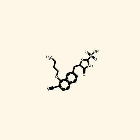 CCCCOc1c(C#N)ccc2ccc(CC3SC(S(=O)(=O)O)NC3=O)cc12